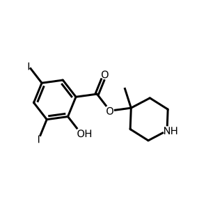 CC1(OC(=O)c2cc(I)cc(I)c2O)CCNCC1